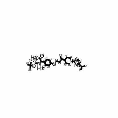 CC(C)c1noc(N2CCC(C(C)CCOc3ccc([C@H](NC(=O)OC(C)(C)C)C(=O)O)c(F)c3)CC2)n1